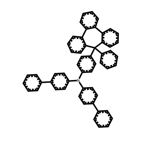 c1ccc(-c2ccc(N(c3ccc(-c4ccccc4)cc3)c3ccc(C4(c5ccccc5)c5ccccc5-c5ccccc5-c5ccccc54)cc3)cc2)cc1